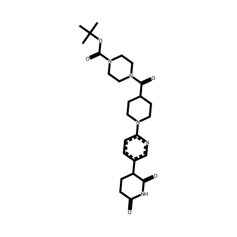 CC(C)(C)OC(=O)N1CCN(C(=O)C2CCN(c3ccc(C4CCC(=O)NC4=O)cn3)CC2)CC1